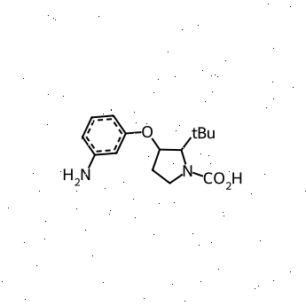 CC(C)(C)C1C(Oc2cccc(N)c2)CCN1C(=O)O